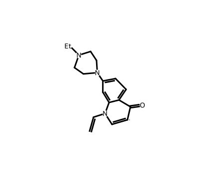 C=Cn1c[c]c(=O)c2ccc(N3CCN(CC)CC3)cc21